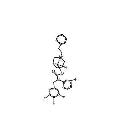 O=C(O[C@H]1C[N+]2(CCc3ccccc3)CCC1CC2)N(Cc1cc(F)c(F)c(F)c1)c1cccc(F)c1